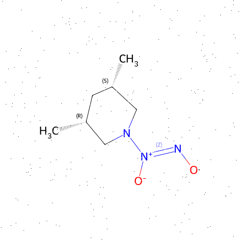 C[C@@H]1C[C@H](C)CN(/[N+]([O-])=N/[O])C1